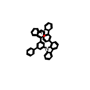 C1=CC2c3cc(-c4cccc5c6ccccc6n(-c6cc(-c7ccccc7)cc(-c7ccccc7)c6)c45)ccc3N(c3ccccc3)C2C=C1